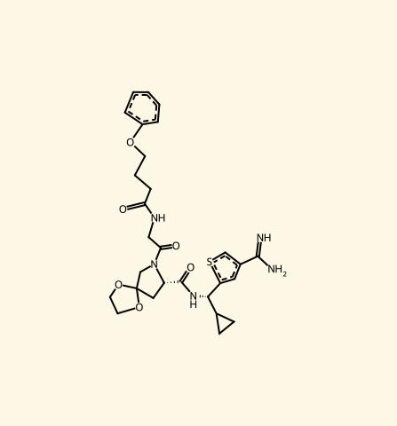 N=C(N)c1csc([C@@H](NC(=O)[C@@H]2CC3(CN2C(=O)CNC(=O)CCCOc2ccccc2)OCCO3)C2CC2)c1